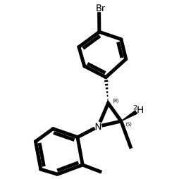 [2H][C@]1(C)[C@@H](c2ccc(Br)cc2)N1c1ccccc1C